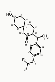 C[C@@H](c1ccc(OC(F)F)cc1)N1CC[C@]2(CC[C@H](O)CC2)OC1=O